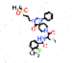 Cc1cccc(C(=O)NC(C(=O)N2CCC3(CC2)C(=O)N(CCCS(C)(=O)=O)CN3c2ccccc2)C(C)C)c1F